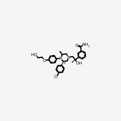 CC1CN(C[C@@](C)(O)c2cccc(C(N)=O)c2)C[C@@H](c2ccc(Cl)cc2)N1c1ccc(OCCO)cc1